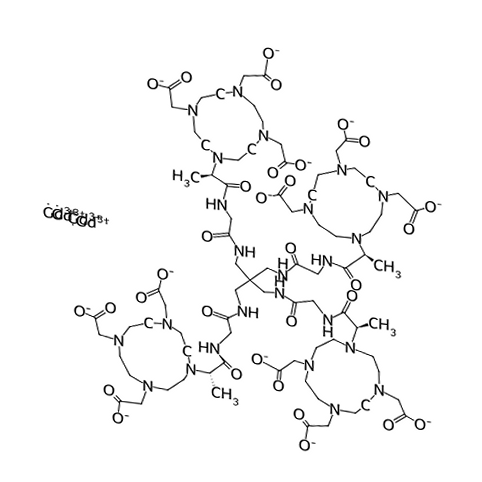 C[C@H](C(=O)NCC(=O)NCC(CNC(=O)CNC(=O)[C@@H](C)N1CCN(CC(=O)[O-])CCN(CC(=O)[O-])CCN(CC(=O)[O-])CC1)(CNC(=O)CNC(=O)[C@H](C)N1CCN(CC(=O)[O-])CCN(CC(=O)[O-])CCN(CC(=O)[O-])CC1)CNC(=O)CNC(=O)[C@H](C)N1CCN(CC(=O)[O-])CCN(CC(=O)[O-])CCN(CC(=O)[O-])CC1)N1CCN(CC(=O)[O-])CCN(CC(=O)[O-])CCN(CC(=O)[O-])CC1.[Gd+3].[Gd+3].[Gd+3].[Gd+3]